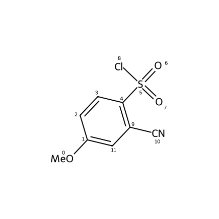 COc1ccc(S(=O)(=O)Cl)c(C#N)c1